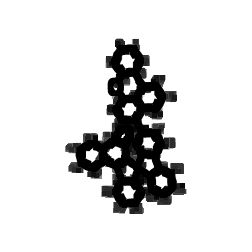 c1ccc2c(c1)Oc1ccc(-c3ccc4c(c3)C3(c5ccccc5-4)c4ccccc4-c4c3c3ccccc3c3ccccc43)c3cccc-2c13